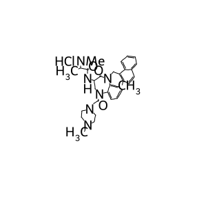 CNC(C)C(=O)NC1CN(C(=O)CN2CCN(C)CC2)c2ccccc2N(Cc2c(C)ccc3ccccc23)C1=O.Cl